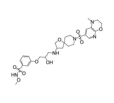 CONS(=O)(=O)c1cccc(OCC(O)CNC2COC3(CCN(S(=O)(=O)c4cnc5c(c4)N(C)CCO5)CC3)C2)c1